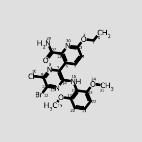 CCOc1ccc(-c2nc(Cl)c(Br)nc2Nc2c(OC)cccc2OC)c(C(N)=O)n1